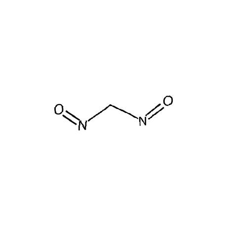 O=NCN=O